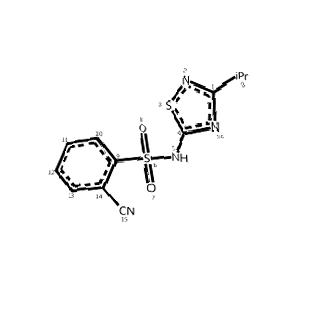 CC(C)c1nsc(NS(=O)(=O)c2ccccc2C#N)n1